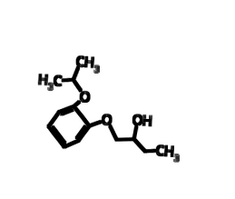 CCC(O)COc1ccccc1OC(C)C